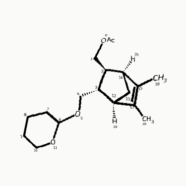 CC(=O)OC[C@@H]1[C@@H](COC2CCCCO2)[C@H]2C[C@@H]1C(C)=C2C